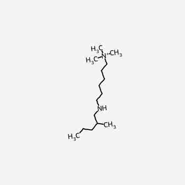 CCCC(C)CNCCCCCC[N+](C)(C)C